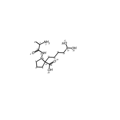 CC(N)C(=O)NN1CCCC1(CCCCB(O)O)C(=O)O